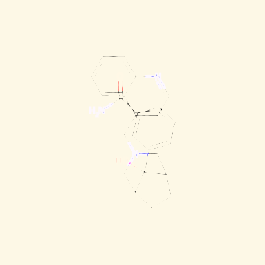 NC(=O)c1cccc(C2(O)C3CCC2CN(Cc2ccnc4ccccc24)C3)c1